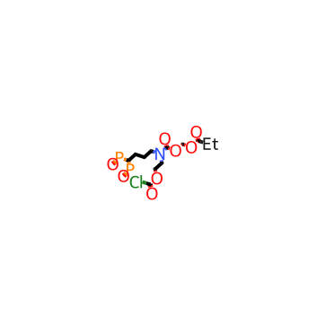 CCC(=O)OCOC(=O)N(CCCC(P=O)P=O)CCOC(=O)Cl